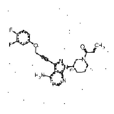 C=CC(=O)N1CCC[C@@H](n2nc(C#CCOc3ccc(F)c(F)c3)c3c(N)ncnc32)C1